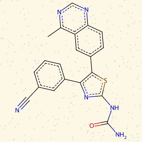 Cc1ncnc2ccc(-c3sc(NC(N)=O)nc3-c3cccc(C#N)c3)cc12